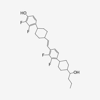 CCCC(O)C1CCC(c2ccc(/C=C/C3CCC(c4ccc(O)c(F)c4F)CC3)c(F)c2F)CC1